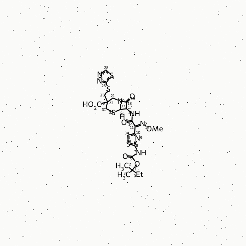 CCC(C)(C)OC(=O)Nc1nc(C(=NOC)C(=O)NC2C(=O)N3CC(CSc4nncs4)(C(=O)O)CS[C@H]23)cs1